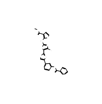 COC(=O)c1ccsc1Nc1nc(N)c(-c2nc(-c3cccc(NC(=O)c4ccccc4)c3)cs2)s1